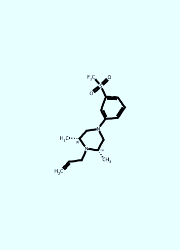 C=CCN1[C@H](C)CN(c2cccc(S(=O)(=O)C(F)(F)F)c2)C[C@@H]1C